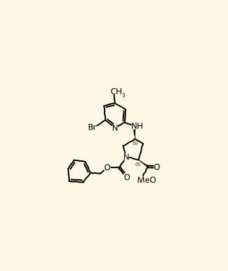 COC(=O)[C@@H]1C[C@H](Nc2cc(C)cc(Br)n2)CN1C(=O)OCc1ccccc1